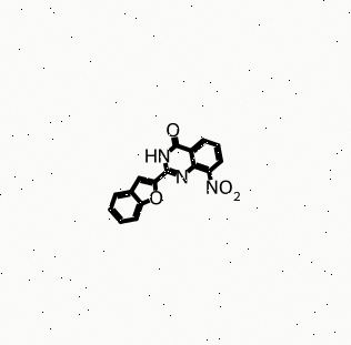 O=c1[nH]c(-c2cc3ccccc3o2)nc2c([N+](=O)[O-])cccc12